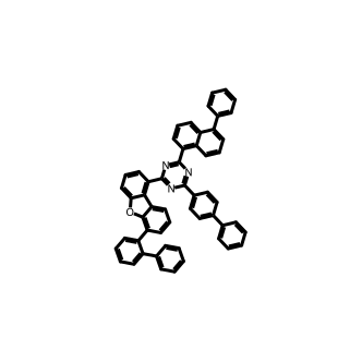 c1ccc(-c2ccc(-c3nc(-c4cccc5c(-c6ccccc6)cccc45)nc(-c4cccc5oc6c(-c7ccccc7-c7ccccc7)cccc6c45)n3)cc2)cc1